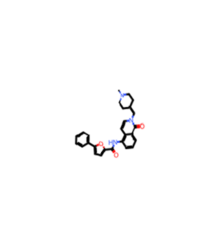 CN1CCC(Cn2ccc3c(NC(=O)c4ccc(-c5ccccc5)o4)cccc3c2=O)CC1